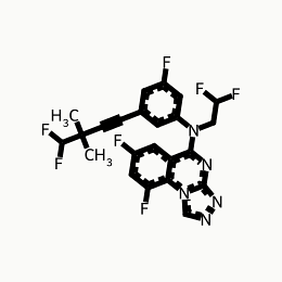 CC(C)(C#Cc1cc(F)cc(N(CC(F)F)c2nc3nncn3c3c(F)cc(F)cc23)c1)C(F)F